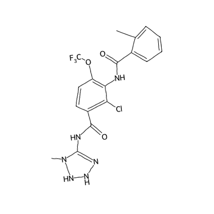 Cc1ccccc1C(=O)Nc1c(OC(F)(F)F)ccc(C(=O)NC2=NNNN2C)c1Cl